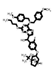 CCCCOc1nc(N(Cc2ccc(OC)cc2)Cc2ccc(OC)cc2)c2ncc(C(O)c3ccc(OC4C[C@@H]5CC[C@](C(C)(C)C)(C4)N5)cc3F)n2n1